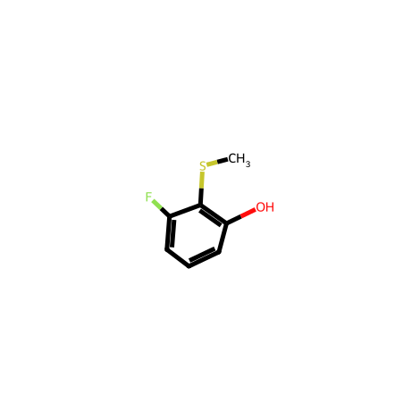 CSc1c(O)cccc1F